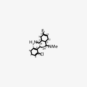 CNC(SCC1=CCCC=C1Cl)C1CC=C(F)CC1CN